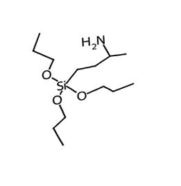 CCCO[Si](CCC(C)N)(OCCC)OCCC